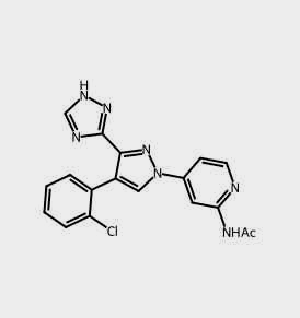 CC(=O)Nc1cc(-n2cc(-c3ccccc3Cl)c(-c3nc[nH]n3)n2)ccn1